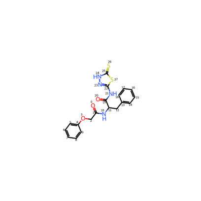 O=C(COc1ccccc1)NC(Cc1ccccc1)C(=O)Nc1n[nH]c(=S)s1